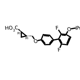 CC(C)Oc1ccc(F)c(-c2ccc(OC[C@@H]3C[C@H]3C(=O)O)cc2)c1F